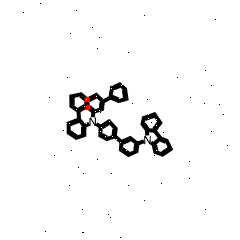 c1ccc(-c2cccc(N(c3ccc(-c4cccc(-n5c6ccccc6c6ccccc65)c4)cc3)c3ccccc3-c3ccccc3)c2)cc1